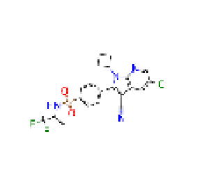 C[C@H](NS(=O)(=O)c1ccc(-c2c(C#N)c3cc(Cl)cnc3n2C2CCC2)cc1)C(F)(F)F